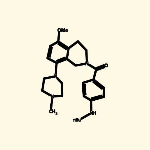 CCCCNc1ccc(C(=O)N2CCc3c(OC)ccc(N4CCN(C)CC4)c3C2)cc1